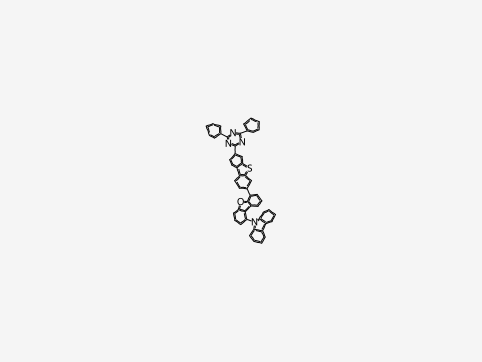 c1ccc(-c2nc(-c3ccccc3)nc(-c3ccc4c(c3)sc3cc(-c5cccc6c5oc5cccc(-n7c8ccccc8c8ccccc87)c56)ccc34)n2)cc1